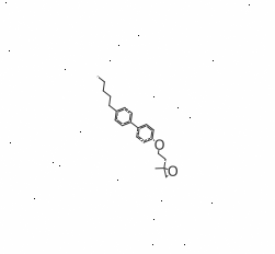 CCCCCc1ccc(-c2ccc(OCCC3(C)CO3)cc2)cc1